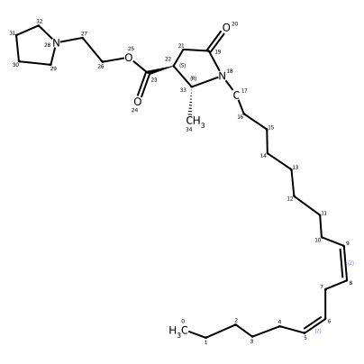 CCCCC/C=C\C/C=C\CCCCCCCCN1C(=O)C[C@H](C(=O)OCCN2CCCC2)[C@H]1C